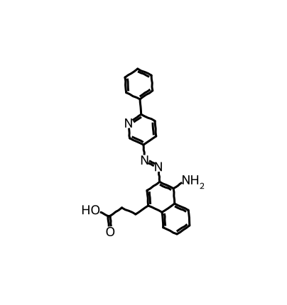 Nc1c(/N=N/c2ccc(-c3ccccc3)nc2)cc(CCC(=O)O)c2ccccc12